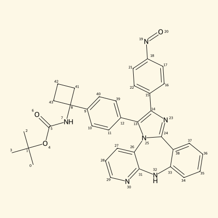 CC(C)(C)OC(=O)NC1(c2ccc(-c3c(-c4ccc(N=O)cc4)nc4n3-c3cccnc3Nc3ccccc3-4)cc2)CCC1